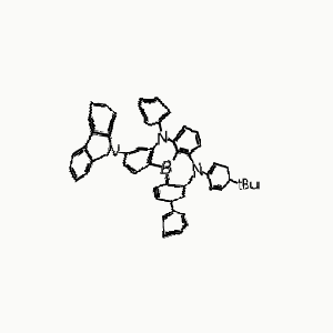 CC(C)(C)C1C=CC(N2C3=C(C=CC(c4ccccc4)C3)B3c4ccc(-n5c6ccccc6c6ccccc65)cc4N(c4ccccc4)c4cccc2c43)=CC1